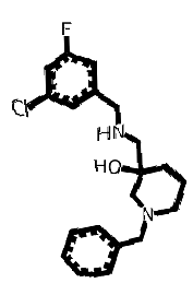 OC1(CNCc2cc(F)cc(Cl)c2)CCCN(Cc2ccccc2)C1